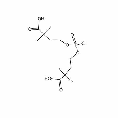 CC(C)(CCOP(=O)(Cl)OCCC(C)(C)C(=O)O)C(=O)O